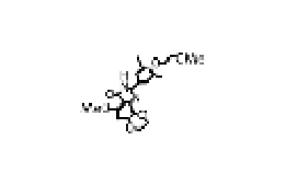 COCCOc1c(C)cc(-c2nc3c4c(cc(OC)c3c(=O)[nH]2)OCCO4)cc1C